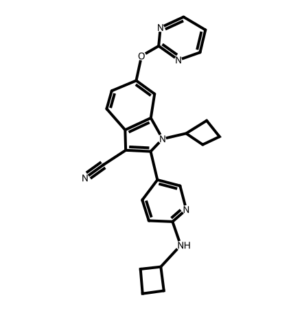 N#Cc1c(-c2ccc(NC3CCC3)nc2)n(C2CCC2)c2cc(Oc3ncccn3)ccc12